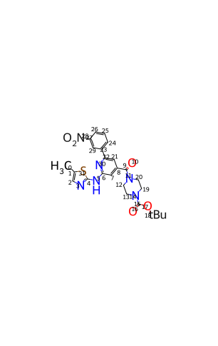 Cc1cnc(Nc2cc(C(=O)N3CCN(C(=O)OC(C)(C)C)CC3)cc(-c3cccc([N+](=O)[O-])c3)n2)s1